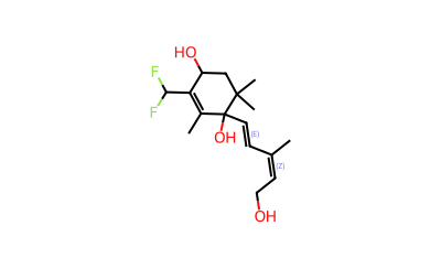 CC1=C(C(F)F)C(O)CC(C)(C)C1(O)/C=C/C(C)=C\CO